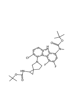 CN(C(=O)OC(C)(C)C)c1cc(F)c(F)c2c1[nH]c1ccc(Cl)c(N3CCC4(CC4NC(=O)OC(C)(C)C)C3)c12